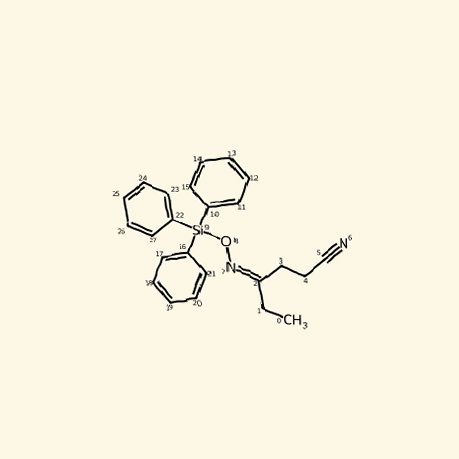 CCC(CCC#N)=NO[Si](c1ccccc1)(c1ccccc1)c1ccccc1